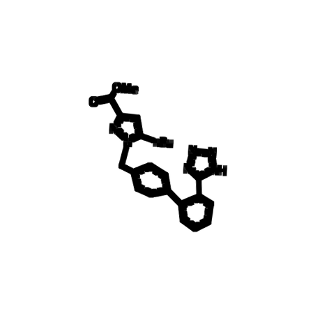 CCCCc1cc(C(=O)OC)nn1Cc1ccc(-c2ccccc2-c2nnn[nH]2)cc1